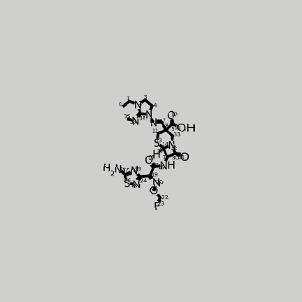 CCN1CCN(N=CC2(C(=O)O)CS[C@@H]3C(NC(=O)C(=NOCF)c4nsc(N)n4)C(=O)N3C2)C1=NC